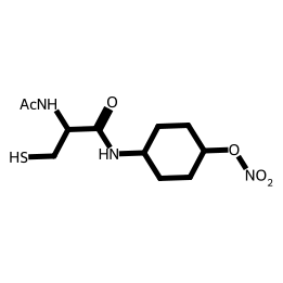 CC(=O)NC(CS)C(=O)NC1CCC(O[N+](=O)[O-])CC1